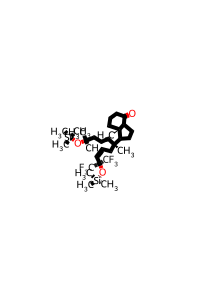 CC(C)(CCC[C@@](C)(CC=CC(O[Si](C)(C)C)(C(F)(F)F)C(F)(F)F)C1CCC2C(=O)CCC[C@@]21C)O[Si](C)(C)C